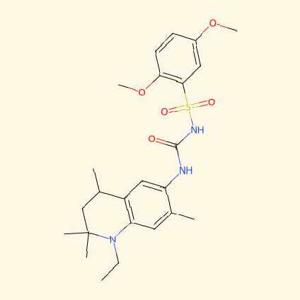 CCN1c2cc(C)c(NC(=O)NS(=O)(=O)c3cc(OC)ccc3OC)cc2C(C)CC1(C)C